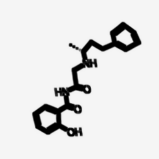 C[C@H](CCc1ccccc1)NCC(=O)NC(=O)c1ccccc1O